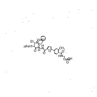 CCCCCC(C(=O)NCNC(=O)c1ccc(-c2ccc(C(=O)NCO[PH](=O)O)c(C)c2)o1)C(CC)N(C=O)OCc1ccccc1